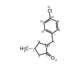 C[C@H]1CC(=O)N(Cc2ccc(Cl)cc2)C1